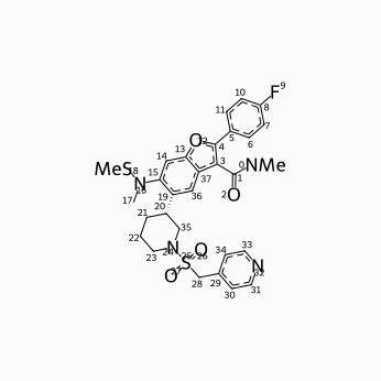 CNC(=O)c1c(-c2ccc(F)cc2)oc2cc(N(C)SC)c([C@H]3CCCN(S(=O)(=O)Cc4ccncc4)C3)cc12